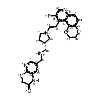 O=C1COc2ncc(CNC[C@@H]3CCN(CCc4c(F)cnc5ccc6c(c45)OCCO6)C3)nc2N1